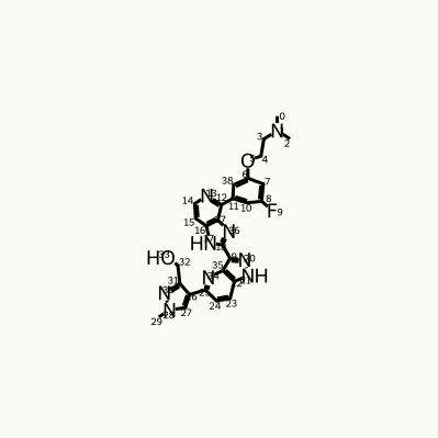 CN(C)CCOc1cc(F)cc(-c2nccc3[nH]c(-c4n[nH]c5ccc(-c6cn(C)nc6CO)nc45)nc23)c1